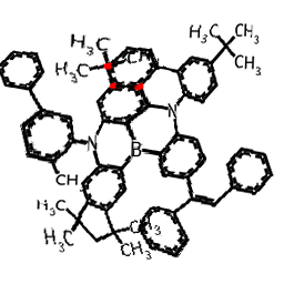 Cc1ccc(-c2ccccc2)cc1N1c2cc3c(cc2B2c4cc(/C(=C\c5ccccc5)c5ccccc5)ccc4N(c4ccc(C(C)(C)C)cc4-c4ccccc4)c4cc(C(C)(C)C)cc1c42)C(C)(C)CC3(C)C